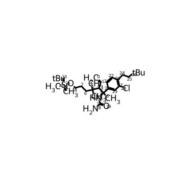 C=CC(C(C)(C)CCCO[Si](C)(C)C(C)(C)C)C(C)(NC(N)=O)c1ccc(CCC(C)(C)C)c(Cl)c1